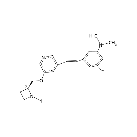 CN(C)c1cc(F)cc(C#Cc2cncc(OC[C@@H]3CCN3I)c2)c1